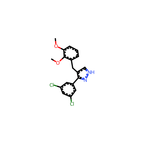 COc1cccc(Cc2c[nH]nc2-c2cc(Cl)cc(Cl)c2)c1OC